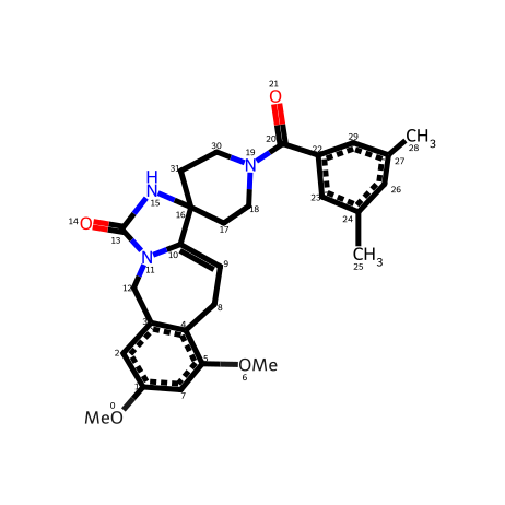 COc1cc2c(c(OC)c1)CC=C1N(C2)C(=O)NC12CCN(C(=O)c1cc(C)cc(C)c1)CC2